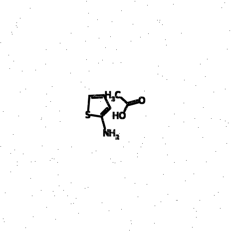 CC(=O)O.Nc1cccs1